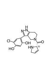 O=C([C@@H]1C=CCN1)N1CCc2[nH]nc(-c3cc(Cl)c(O)cc3O)c2C1